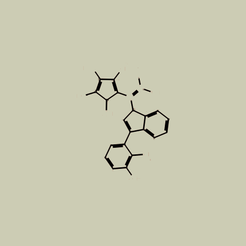 CC1=C(C)C(C)[C]([Zr]([CH]2C=C(c3cccc(C)c3C)c3ccccc32)=[Si](C)C)=C1C